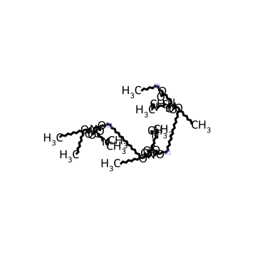 CCCCCC/C=C\COC(=O)CCCN(CC(=O)OC(CCCCCCC)CCCCCCCCCCCCC/C=C\COC(=O)CN(CC(=O)OC(CCCCCCCC)CCCCCCCCCCCCCC/C=C\COC(=O)CN(CC(=O)OC(CCCCCCCC)CCCCCCCC)C(=O)SCCCN(CC)CC)C(=O)SCCCCN(CC)CC)C(=O)SCCCN(C)C